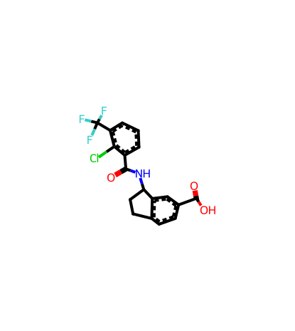 O=C(O)c1ccc2c(c1)C(NC(=O)c1cccc(C(F)(F)F)c1Cl)CC2